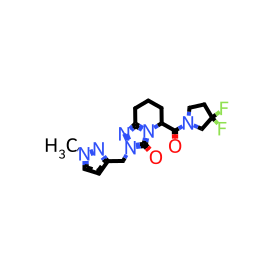 Cn1ccc(Cn2nc3n(c2=O)C(C(=O)N2CCC(F)(F)C2)CCC3)n1